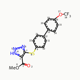 COC(=O)c1[nH]nnc1Sc1ccc(-c2ccc(OC(F)(F)F)cc2)cc1